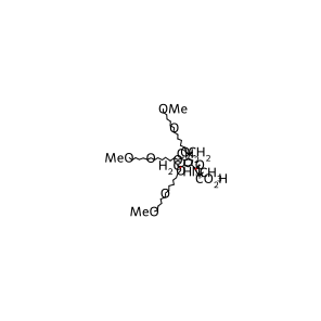 C=C(OCCCCCCOCCCCCOC)c1cc(C(=O)N[C@@H](C)C(=O)O)cc(C(=C)OCCCCCCOCCCCCOC)c1C(=C)OCCCCCCOCCCCCOC